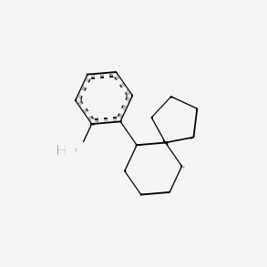 Cc1ccccc1C1CCCCC12CCCC2